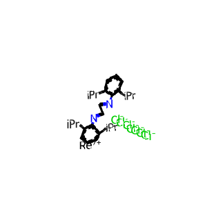 CC(C)c1cccc(C(C)C)c1N=CC=Nc1c(C(C)C)cccc1C(C)C.[Cl-].[Cl-].[Cl-].[Cl-].[Cl-].[Cl-].[Cl-].[Re+7]